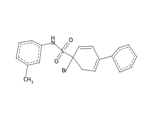 Cc1cccc(NS(=O)(=O)C2(Br)C=CC(c3ccccc3)=CC2)c1